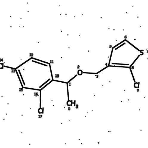 CC(OCc1ccsc1Cl)c1ccc(Cl)cc1Cl